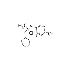 CC(C)(CC1CCCCC1)Sc1ccc([O])cc1